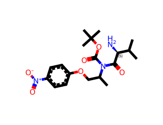 CC(C)[C@H](N)C(=O)N(C(=O)OC(C)(C)C)C(C)COc1ccc([N+](=O)[O-])cc1